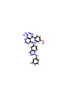 COc1ccc(/C(=N/N)c2c(N)ncnc2Nc2ccc3c(cnn3Cc3cccc(F)c3)c2)cc1